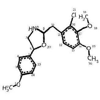 COc1ccc(C2CNC(Cc3ccc(OC)c(OC)c3Cl)O2)cc1